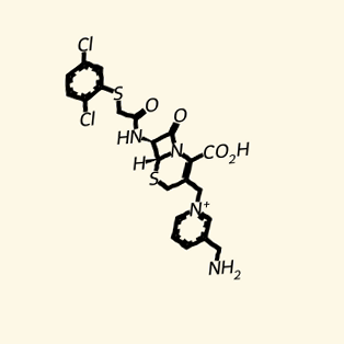 NCc1ccc[n+](CC2=C(C(=O)O)N3C(=O)[C@H](NC(=O)CSc4cc(Cl)ccc4Cl)[C@H]3SC2)c1